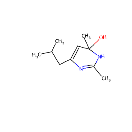 CC1=NC(CC(C)C)=CC(C)(O)N1